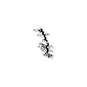 C/C(=C\c1csc(C)n1)C(O)C/C=C(\Cl)COC[C@H](C)[C@H](O[Si](C)(C)C(C)(C)C)[C@@H](C)C(=O)C(C)(C)[C@H](CC(=O)O)O[Si](C)(C)C(C)(C)C